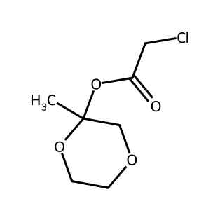 CC1(OC(=O)CCl)COCCO1